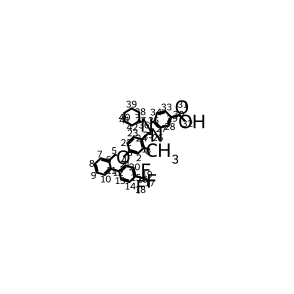 Cc1cc(OCc2ccccc2-c2ccc(C(F)(F)F)cc2)ccc1-c1nc2cc(C(=O)O)ccc2n1C1CCCCC1